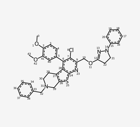 COc1ccc(-c2c(Cl)c(COC3=NN(c4ccccc4)CC3)nc3sc4c(c23)CCN(Cc2ccccc2)C4)cc1OC